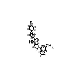 Cc1cn2cccc2c(N2CCC(NC(=O)c3ccn(-c4ccc(F)cc4)n3)C2)n1